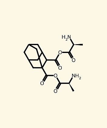 C[C@H](N)C(=O)OC(=O)C1C2CC3CC(C2)CC1(C(=O)OC(=O)[C@H](C)N)C3